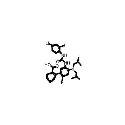 CC(C)CN(CC(C)C)c1cc(F)c(-c2ccccc2C(=O)O)cc1NC(=O)Nc1ccc(Cl)cc1F